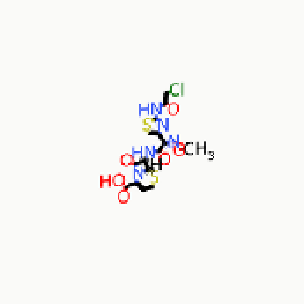 CO/N=C(\C(=O)N[C@@H]1C(=O)N2C(C(=O)O)=CCS[C@H]12)c1csc(NC(=O)CCl)n1